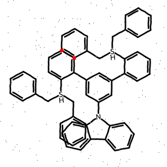 c1ccc(C[SH](Cc2ccccc2)c2ccccc2-c2cc(-c3ccccc3[SH](Cc3ccccc3)Cc3ccccc3)cc(-n3c4ccccc4c4ccccc43)c2)cc1